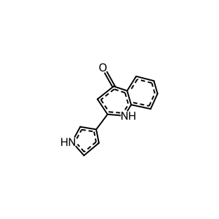 O=c1cc(-c2cc[nH]c2)[nH]c2ccccc12